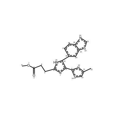 COC(=O)CCc1nc(-c2nc(C)cs2)c(-c2ccc3ncsc3c2)[nH]1